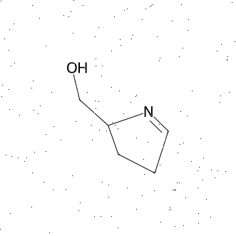 OCC1CCC=N1